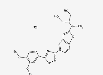 CCOc1ccc(-c2nc(-c3ccc4oc(N(C)C(CO)CO)cc4c3)no2)cc1OCC.Cl